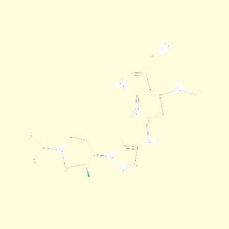 CCNc1cc(Nc2cnn(C3CCN(C4COC4)C[C@@H]3F)c2Cl)nc2[nH]cc(C#N)c12